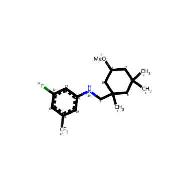 COC1CC(C)(C)CC(C)(CNc2cc(F)cc(C(F)(F)F)c2)C1